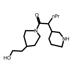 CCCC(C(=O)N1CCC(CCO)CC1)C1CCCNC1